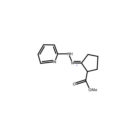 COC(=O)C1CCC/C1=N\Nc1ccccn1